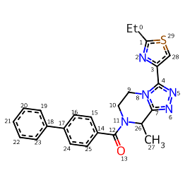 CCc1nc(-c2nnc3n2CCN(C(=O)c2ccc(-c4ccccc4)cc2)C3C)cs1